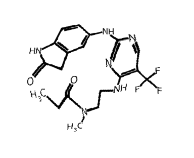 CCC(=O)N(C)CCNc1nc(Nc2ccc3c(c2)CC(=O)N3)ncc1C(F)(F)F